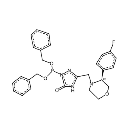 O=c1[nH]c(CN2CCOC[C@@H]2c2ccc(F)cc2)nn1P(OCc1ccccc1)OCc1ccccc1